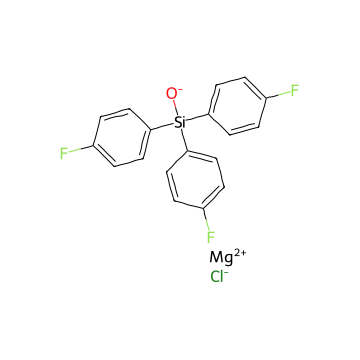 [Cl-].[Mg+2].[O-][Si](c1ccc(F)cc1)(c1ccc(F)cc1)c1ccc(F)cc1